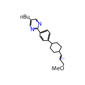 CCCCc1cnc(-c2ccc(C3CCC(/C=C/COC)CC3)cc2)nc1